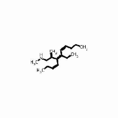 C=C(CNC)C(/C=C\CC)=C(\C=C/CCC)CC